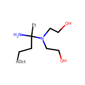 CCCCCCCCCCC(N)(CC)N(CCO)CCO